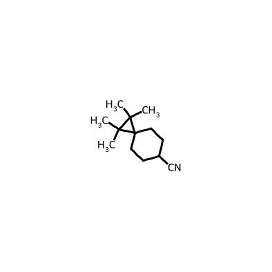 CC1(C)C(C)(C)C12CCC(C#N)CC2